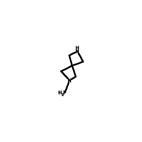 PN1CC2(CNC2)C1